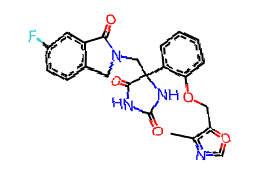 Cc1ncoc1COc1ccccc1C1(CN2Cc3ccc(F)cc3C2=O)NC(=O)NC1=O